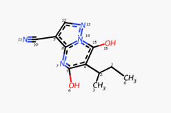 CCC(C)c1c(O)nc2c(C#N)cnn2c1O